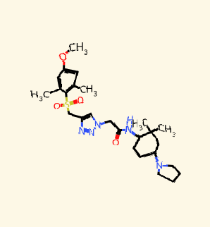 COc1cc(C)c(S(=O)(=O)Cc2cn(CC(=O)NC3CCC(N4CCCC4)CC3(C)C)nn2)c(C)c1